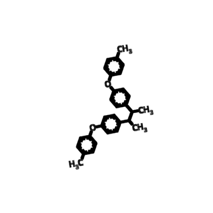 Cc1ccc(Oc2ccc(C(C)C(C)c3ccc(Oc4ccc(C)cc4)cc3)cc2)cc1